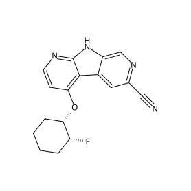 N#Cc1cc2c(cn1)[nH]c1nccc(O[C@H]3CCCC[C@H]3F)c12